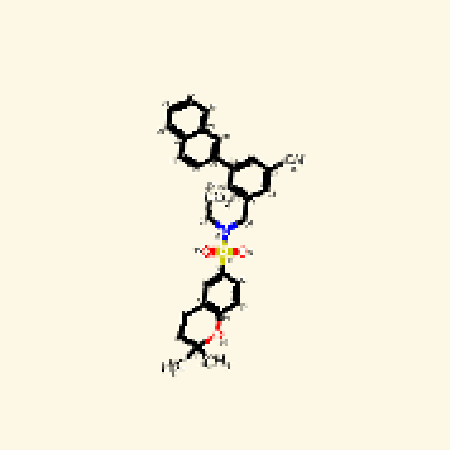 CC1(C)CCc2cc(S(=O)(=O)N(CC(=O)O)Cc3cc(C#N)cc(-c4ccc5ccccc5c4)c3)ccc2O1